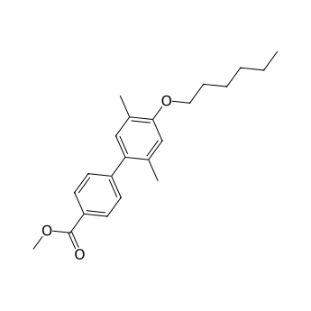 CCCCCCOc1cc(C)c(-c2ccc(C(=O)OC)cc2)cc1C